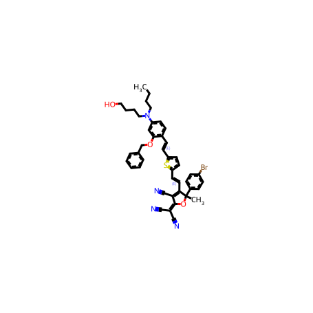 CCCCN(CCCCO)c1ccc(/C=C/c2ccc(/C=C/C3=C(C#N)C(=C(C#N)C#N)OC3(C)c3ccc(Br)cc3)s2)c(OCc2ccccc2)c1